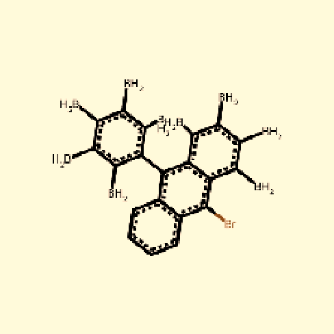 Bc1c(B)c(B)c(-c2c3ccccc3c(Br)c3c(B)c(B)c(B)c(B)c23)c(B)c1B